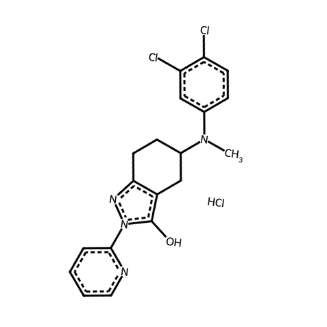 CN(c1ccc(Cl)c(Cl)c1)C1CCc2nn(-c3ccccn3)c(O)c2C1.Cl